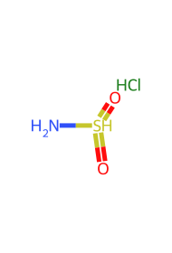 Cl.N[SH](=O)=O